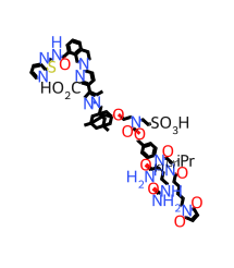 Cc1c(-c2ccc(N3CCc4cccc(C(=O)Nc5nc6cccnc6s5)c4C3)nc2C(=O)O)cnn1CC12CC3(C)CC(C)(C1)CC(OCCN(CCS(=O)(=O)O)C(=O)OCc1ccc(N(C(=O)[C@@H](NC(=O)CCCCCN4C(=O)C=CC4=O)C(C)C)[C@@H](CCCNC(N)=O)C(N)=O)cc1)(C3)C2